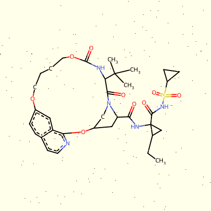 CCC1CC1(NC(=O)C1CC2CN1C(=O)C(C(C)(C)C)NC(=O)OCCCCOc1ccc3ccnc(c3c1)O2)C(=O)NS(=O)(=O)C1CC1